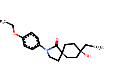 CCOC(=O)C[C@]1(O)CC[C@]2(CCN(c3ccc(OCC(F)(F)F)cc3)C2=O)CC1